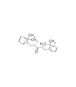 CC1(C)C2C=CC(C2)C1CCC(=O)CCC1C2C=CC(C2)C1(C)C